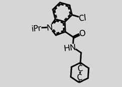 CC(C)n1cc(C(=O)NCC23CCC(CC2)CC3)c2c(Cl)cccc21